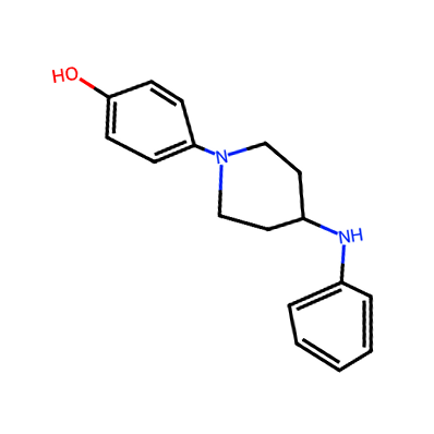 Oc1ccc(N2CCC(Nc3ccccc3)CC2)cc1